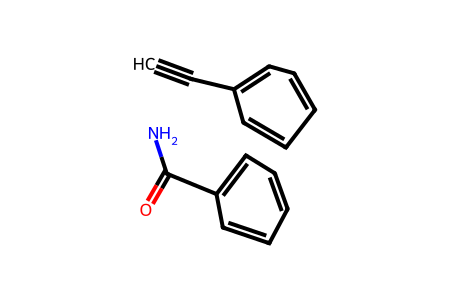 C#Cc1ccccc1.NC(=O)c1ccccc1